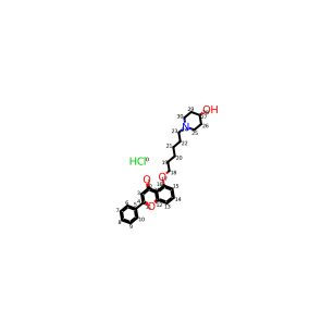 Cl.O=c1cc(-c2ccccc2)oc2cccc(OCCCCCCN3CCC(O)CC3)c12